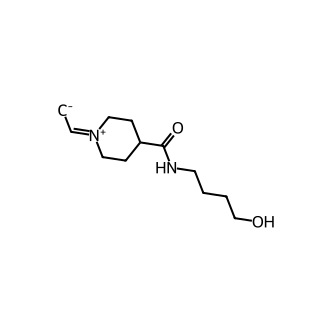 [CH2-]C=[N+]1CCC(C(=O)NCCCCO)CC1